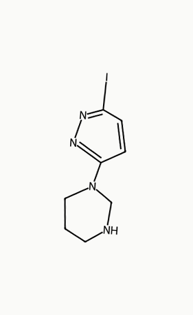 Ic1ccc(N2CCCNC2)nn1